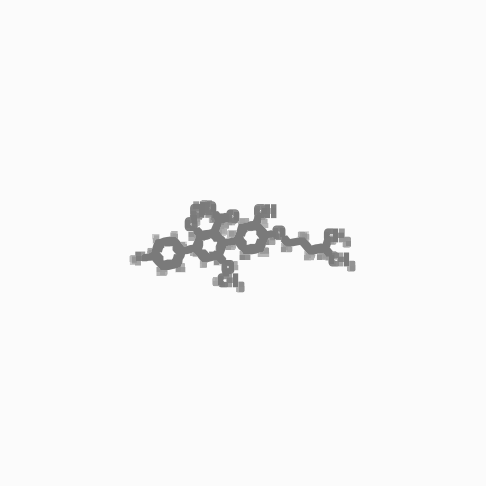 COc1cc(-c2ccc(F)cc2)c(OC)c(C(=O)O)c1-c1ccc(OCCC=C(C)C)c(O)c1